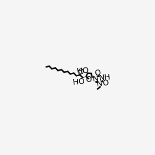 CCCCCCCCCCCC(=O)C(O)[C@H]1O[C@@H](N2CN(CC)C(=O)NC2=O)C[C@@H]1O